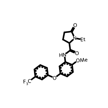 CCN1C(=O)CCC1C(=O)Nc1cc(Oc2cccc(C(F)(F)F)c2)ccc1OC